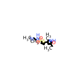 CCc1cc(-c2ccc(S(=O)(=O)NCCN(C)C)s2)c(C)[nH]c1=O